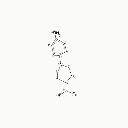 Nc1ccc(N2CCC(C(F)F)CC2)cc1